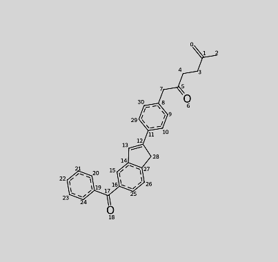 C=C(C)CCC(=O)Cc1ccc(C2=Cc3cc(C(=O)c4ccccc4)ccc3C2)cc1